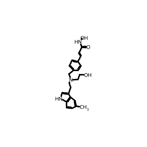 Cc1ccc2[nH]cc(CCN(CCO)Cc3ccc(/C=C/C(=O)NO)cc3)c2c1